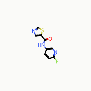 O=C(Nc1ccc(F)nc1)c1cncs1